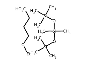 CCOCCCC(=O)O.C[Si](C)(C)O[Si](C)(C)O[Si](C)(C)C